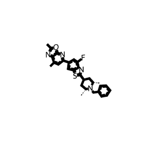 Cc1nc2c(C)cc(-c3cc(F)c4nc(C5C[C@@H](C)N(Cc6ccccc6)[C@@H](C)C5)sc4c3)nc2o1